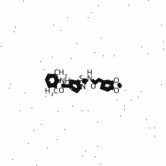 Cc1cccc(C)c1NC(=O)c1ccc2nc(NC(=O)Cc3ccc4c(c3)OCO4)sc2c1